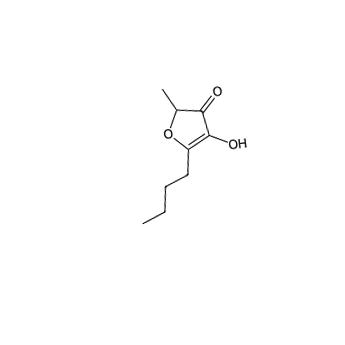 CCCCC1=C(O)C(=O)C(C)O1